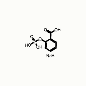 O=C(O)c1ccccc1OP(=O)(O)O.[NaH]